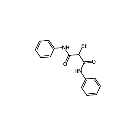 CCC(C(=O)Nc1ccccc1)C(=O)Nc1ccccc1